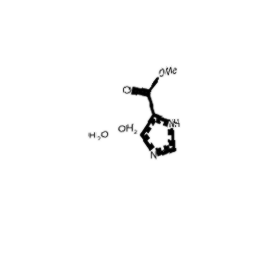 COC(=O)c1cnc[nH]1.O.O